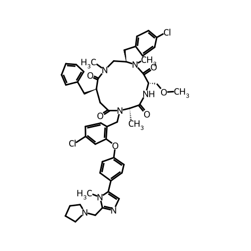 COC[C@@H]1NC(=O)[C@H](C)N(Cc2ccc(Cl)cc2Oc2ccc(-c3cnc(CN4CCCC4)n3C)cc2)C(=O)C[C@@H](Cc2ccccc2)C(=O)N(C)C[C@@H](Cc2ccc(Cl)cc2)N(C)C1=O